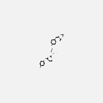 CC(C)c1ccc(Oc2ccnc(N(C)CCOc3ccc(C=C4NC(=O)SC4=O)cc3)n2)cc1